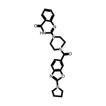 O=C(c1ccc2nc(N3CCCC3)oc2c1)N1CCN(c2nc3ccccc3c(=O)[nH]2)CC1